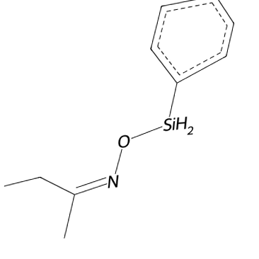 CCC(C)=NO[SiH2]c1ccccc1